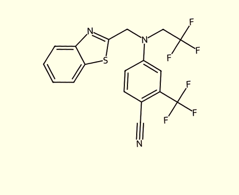 N#Cc1ccc(N(Cc2nc3ccccc3s2)CC(F)(F)F)cc1C(F)(F)F